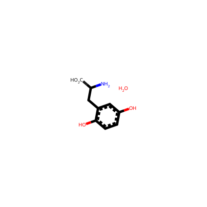 NC(Cc1cc(O)ccc1O)C(=O)O.O